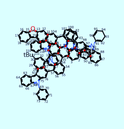 CC(C)(C)c1cccc(N(c2cc(-c3ccc4oc5ccccc5c4c3)cc(N(c3cccc(C(C)(C)C)c3)c3c(-c4ccc5c6ccccc6n(-c6ccccc6)c5c4)cccc3-c3ccc4c5ccccc5n(-c5ccccc5)c4c3)c2)c2c(-c3ccc4c5ccccc5n(C5=CCCC=C5)c4c3)cccc2-c2ccc3c4ccccc4n(-c4ccccc4)c3c2)c1